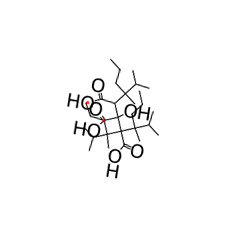 CCCC(C)(C(C)C)C(C(=O)O)C(O)(C(=O)O)C(C(=O)O)(C(C)(CCC)C(C)C)C(C)(CCC)C(C)C